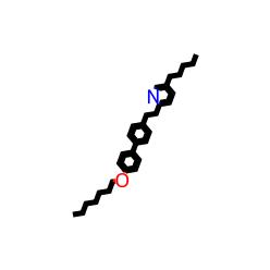 CCCCCCCOc1ccc(-c2ccc(CCc3ccc(CCCCC)cn3)cc2)cc1